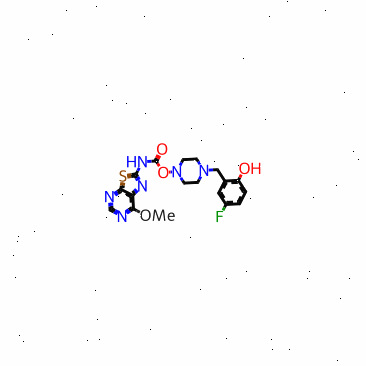 COc1ncnc2sc(NC(=O)ON3CCN(Cc4cc(F)ccc4O)CC3)nc12